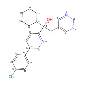 OC(Cc1cncnc1)(c1ccc(-c2ccc(Cl)cc2)cn1)C1CCCCC1